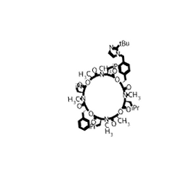 CC(C)C[C@H]1C(=O)O[C@H](Cc2ccc(Cn3ccnc3C(C)(C)C)cc2)C(=O)N(C)[C@@H](CC(C)C)C(=O)O[C@H](C)C(=O)N(C)[C@@H](CC(C)C)C(=O)O[C@H](Cc2ccccc2)C(=O)N(C)[C@@H](CC(C)C)C(=O)O[C@H](C)C(=O)N1C